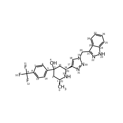 C[C@H]1CC(O)(c2ccc(C(F)(F)F)cc2)C[C@@H](c2cn(Cc3n[nH]c4ccccc34)nn2)N1